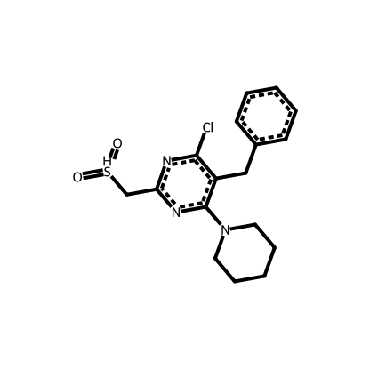 O=[SH](=O)Cc1nc(Cl)c(Cc2ccccc2)c(N2CCCCC2)n1